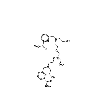 COC(=O)c1cccc(CN(CCO)CCOC[C@H](COC(C)=O)OCCN(CCO)Cc2cccc(C(=O)OC)n2)n1